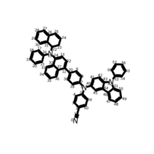 N#Cc1ccc(N(c2ccc(-c3ccc(N(c4ccccc4)C4CC=Cc5ccccc54)c4ccccc34)cc2)c2ccc3c(c2)c2ccccc2n3-c2ccccc2)cc1